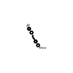 CCCCC[C@H]1CC[C@H](c2ccc(C#C/C=C/[C@H]3CC[C@H](c4ccc(OCC)cc4)CC3)cc2)CC1